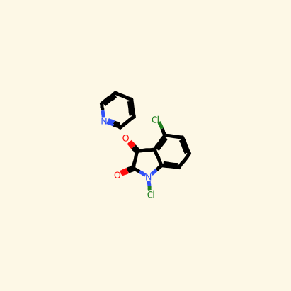 O=C1C(=O)N(Cl)c2cccc(Cl)c21.c1ccncc1